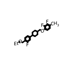 CCOCc1ccc(C2CCC(COc3ccc(C)c(F)c3F)CC2)cc1F